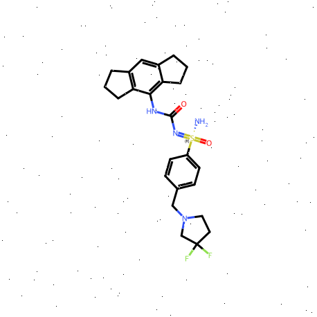 N[S@@](=O)(=NC(=O)Nc1c2c(cc3c1CCC3)CCC2)c1ccc(CN2CCC(F)(F)C2)cc1